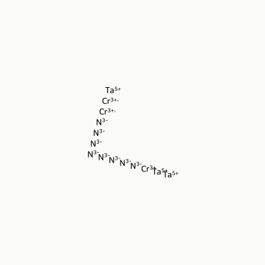 [Cr+3].[Cr+3].[Cr+3].[N-3].[N-3].[N-3].[N-3].[N-3].[N-3].[N-3].[N-3].[Ta+5].[Ta+5].[Ta+5]